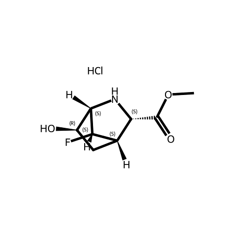 COC(=O)[C@H]1N[C@@H]2[C@@H](F)[C@H]1C[C@H]2O.Cl